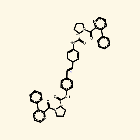 O=C(NC1=CCC(/C=C/c2ccc(NC(=O)[C@@H]3CCCN3C(=O)c3ncccc3-c3ccccc3)cc2)C=C1)[C@@H]1CCCN1C(=O)c1ncccc1-c1ccccc1